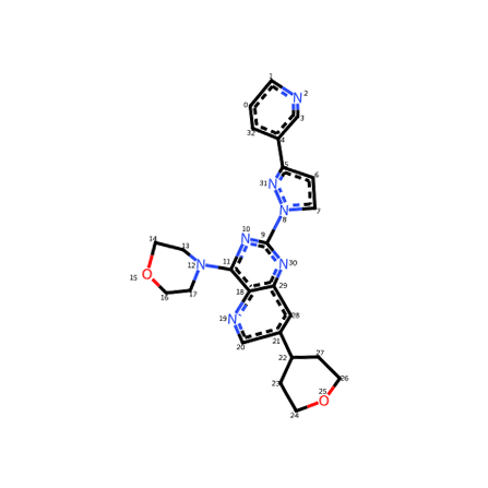 c1cncc(-c2ccn(-c3nc(N4CCOCC4)c4ncc(C5CCOCC5)cc4n3)n2)c1